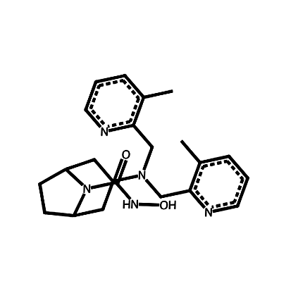 Cc1cccnc1CN(Cc1ncccc1C)C1CC2CCC(C1)N2C(=O)NO